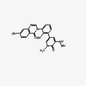 Cn1cc(-c2cccc(-n3cnc4cc(C(C)(C)C)ccc4c3=O)c2C(C)(C)C)cc(NC(C)(C)C)c1=O